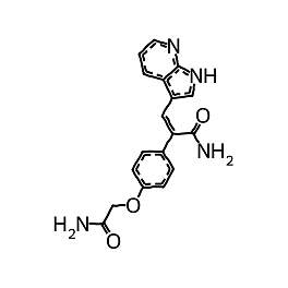 NC(=O)COc1ccc(/C(=C/c2c[nH]c3ncccc23)C(N)=O)cc1